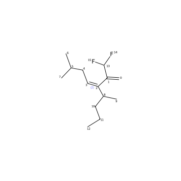 C=C(/C(=C\CC(C)C)C(C)CCC)C(F)F